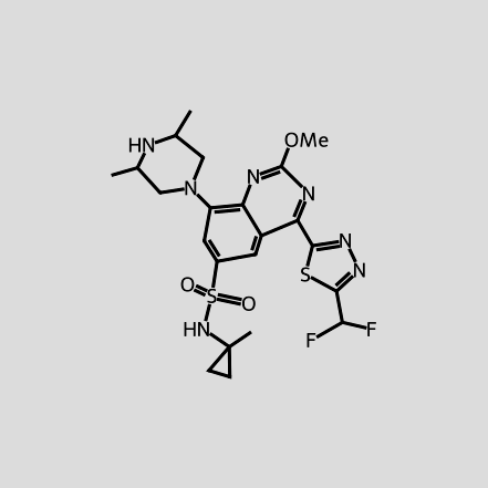 COc1nc(-c2nnc(C(F)F)s2)c2cc(S(=O)(=O)NC3(C)CC3)cc(N3CC(C)NC(C)C3)c2n1